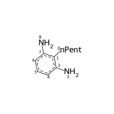 CCCCCc1c(N)cccc1N